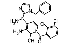 CC1C(N)=C(N(N)c2nccn2Cc2ccccc2)C=CN1C(=O)c1cccc(Cl)c1Cl